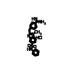 Cl.Cn1c(Cc2ccc(C(=N)N)cc2)nc2cc(S(=O)(=O)Nc3ccccc3)ccc21